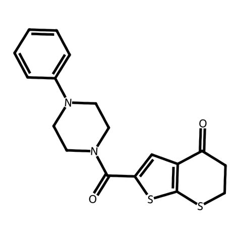 O=C1CCSc2sc(C(=O)N3CCN(c4ccccc4)CC3)cc21